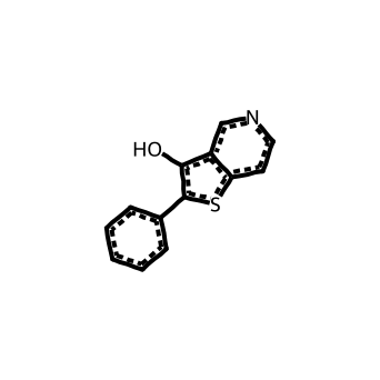 Oc1c(-c2ccccc2)sc2ccncc12